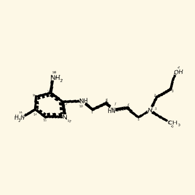 CN(CCO)CCNCCNc1ncc(N)cc1N